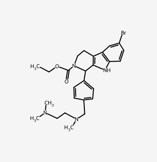 CCOC(=O)N1CCc2c([nH]c3ccc(Br)cc23)C1c1ccc(CN(C)CCN(C)C)cc1